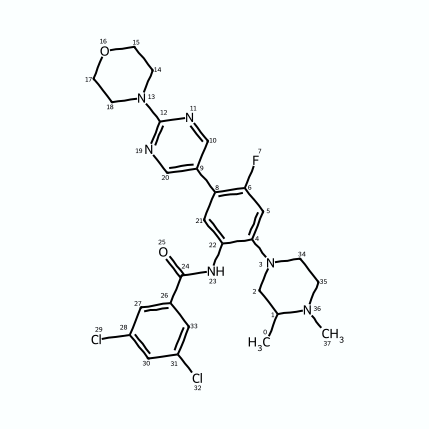 CC1CN(c2cc(F)c(-c3cnc(N4CCOCC4)nc3)cc2NC(=O)c2cc(Cl)cc(Cl)c2)CCN1C